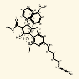 COC(=O)C1[C@H](O)[C@]2(O)c3c(OC)cc(OCCCCN=[N+]=[N-])cc3O[C@]2(c2ccc(OC)cc2)[C@H]1c1ccccc1